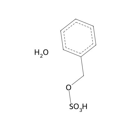 O.O=S(=O)(O)OCc1ccccc1